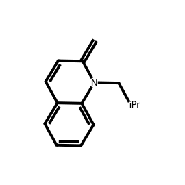 C=C1C=Cc2ccccc2N1CC(C)C